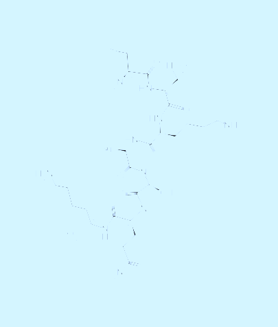 CC[C@H](C)[C@H](NC(=O)[C@H](CCCCN)NC(=O)[C@H](CC(=O)O)NC(=O)[C@@H](N)CC(C)C)C(=O)N[C@@H](C)C(=O)N[C@@H](CCC(N)=O)C(=O)N[C@@H](CCCCN)C(=O)O